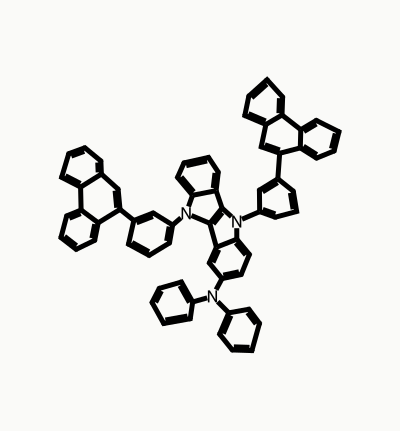 c1ccc(N(c2ccccc2)c2ccc3c(c2)c2c(c4ccccc4n2-c2cccc(-c4cc5ccccc5c5ccccc45)c2)n3-c2cccc(-c3cc4ccccc4c4ccccc34)c2)cc1